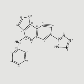 c1c(-c2nnn[nH]2)cc2nc(Nc3ccccc3)c3ccsc3c2c#1